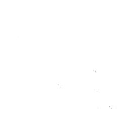 CCON=C(C(C)=C(ON)c1ccccc1C(=NOC)C(=O)NC)c1ccc(OCc2ccccc2C(F)(F)F)cc1